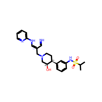 CC(C)S(=O)(=O)Nc1cccc([C@@H]2CCN(C/C(C=N)=C/Nc3ccccn3)C[C@@H]2O)c1